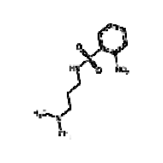 CN(C)CCCNS(=O)(=O)c1ccccc1[N+](=O)[O-]